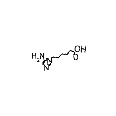 Nc1cncn1CCCCCC(=O)O